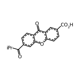 CC(C)C(=O)c1ccc2c(=O)c3cc(C(=O)O)ccc3oc2c1